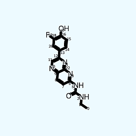 CCNC(=O)Nc1ccc2ncc(-c3ccc(O)c(F)c3)nc2n1